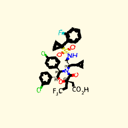 O=C(O)C[C@@]1(CC(F)(F)F)O[C@H](c2cccc(Cl)c2)[C@@H](c2ccc(Cl)cc2)N([C@H](CNS(=O)(=O)C2(c3ccccc3F)CC2)C2CC2)C1=O